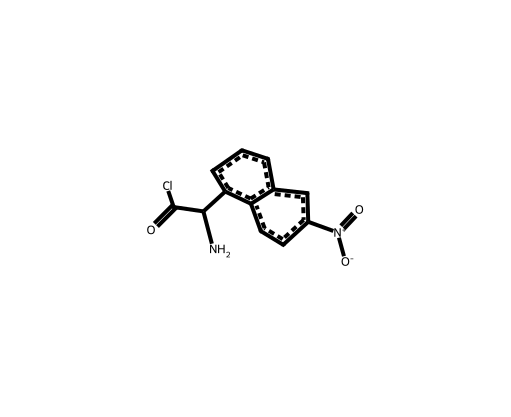 NC(C(=O)Cl)c1cccc2cc([N+](=O)[O-])ccc12